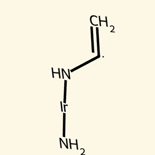 C=[C][NH][Ir][NH2]